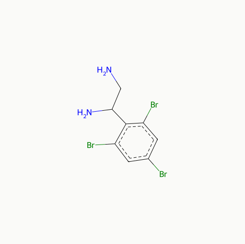 NCC(N)c1c(Br)cc(Br)cc1Br